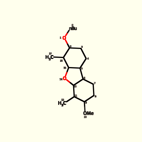 CCCCOC1CCC2C3CCC(OC)C(C)C3OC2C1C